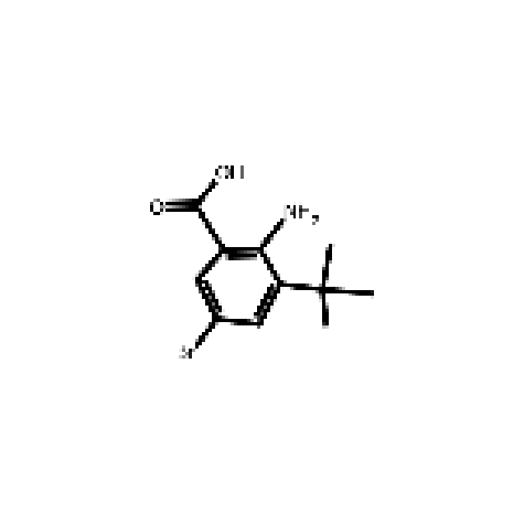 CC(C)(C)c1cc(Br)cc(C(=O)O)c1N